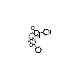 O=C(CN1c2nc(-c3ccncc3)cc(=O)n2CCC12CC2)c1ccccc1